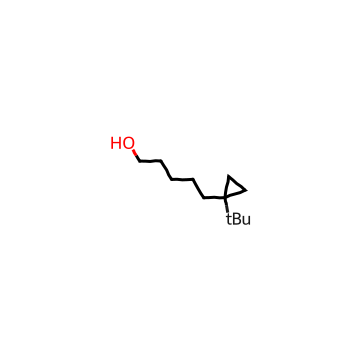 CC(C)(C)C1(CCCCCO)CC1